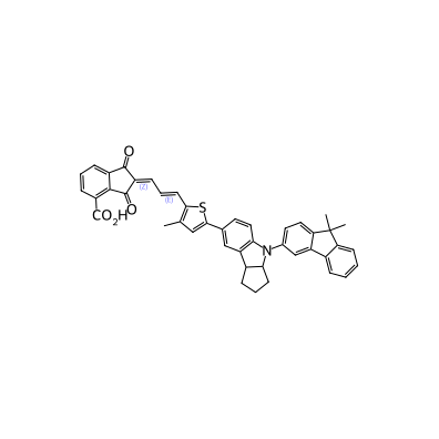 Cc1cc(-c2ccc3c(c2)C2CCCC2N3c2ccc3c(c2)-c2ccccc2C3(C)C)sc1/C=C/C=C1/C(=O)c2cccc(C(=O)O)c2C1=O